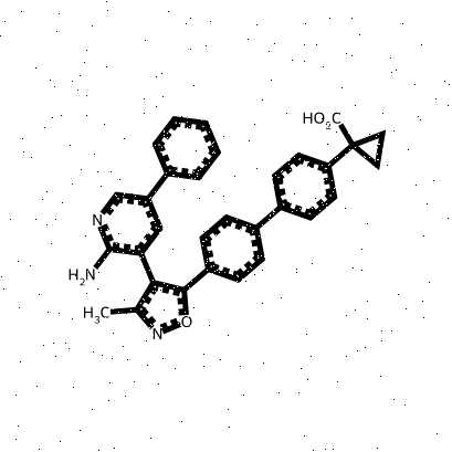 Cc1noc(-c2ccc(-c3ccc(C4(C(=O)O)CC4)cc3)cc2)c1-c1cc(-c2ccccc2)cnc1N